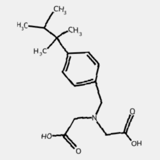 CC(C)C(C)(C)c1ccc(CN(CC(=O)O)CC(=O)O)cc1